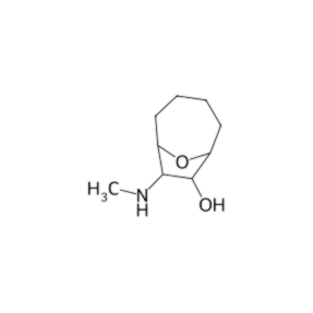 CNC1C2CCCCC(O2)C1O